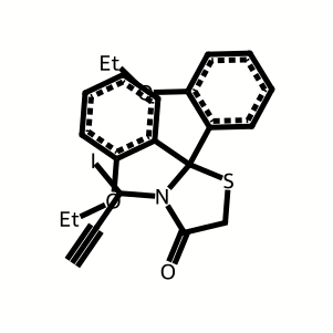 C#CC(I)N1C(=O)CSC1(c1ccccc1OCC)c1ccccc1OCC